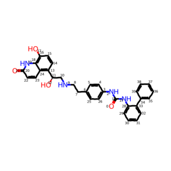 O=C(Nc1ccc(CCNC[C@@H](O)c2ccc(O)c3[nH]c(=O)ccc23)cc1)Nc1ccccc1-c1ccccc1